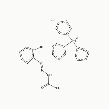 I[PH](c1ccccc1)(c1ccccc1)c1ccccc1.NC(=S)NN=Cc1ccccc1Br.[Cu]